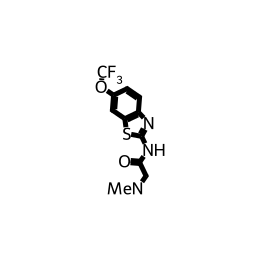 CNCC(=O)Nc1nc2ccc(OC(F)(F)F)cc2s1